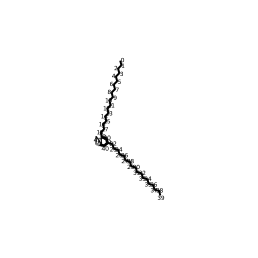 CCCCCCCCCCCCCCCCCCCc1cc(CCCCCCCCCCCCCCCCCC)ccn1